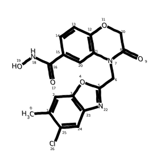 Cc1cc2oc(CN3C(=O)COc4ccc(C(=O)NO)cc43)nc2cc1Cl